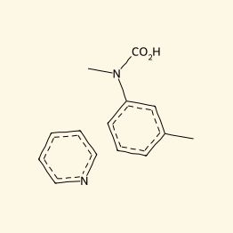 Cc1cccc(N(C)C(=O)O)c1.c1ccncc1